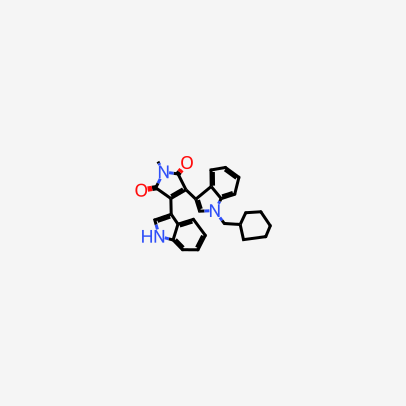 CN1C(=O)C(c2c[nH]c3ccccc23)=C(c2cn(CC3CCCCC3)c3ccccc23)C1=O